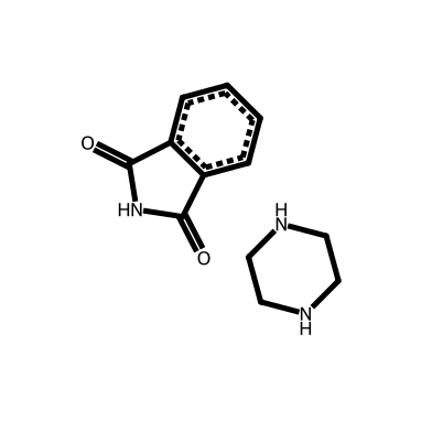 C1CNCCN1.O=C1NC(=O)c2ccccc21